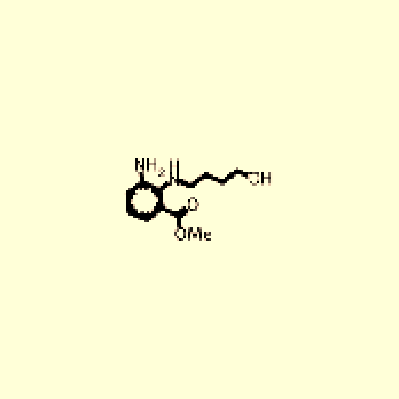 COC(=O)c1cccc(N)c1NCCCCO